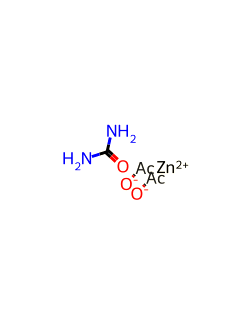 CC(=O)[O-].CC(=O)[O-].NC(N)=O.[Zn+2]